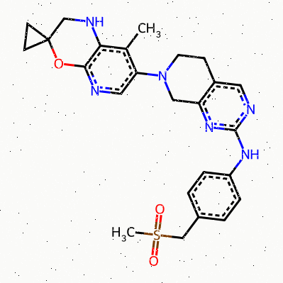 Cc1c(N2CCc3cnc(Nc4ccc(CS(C)(=O)=O)cc4)nc3C2)cnc2c1NCC1(CC1)O2